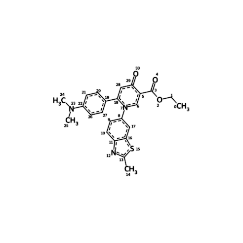 CCOC(=O)c1cn(-c2ccc3nc(C)sc3c2)c(-c2ccc(N(C)C)cc2)cc1=O